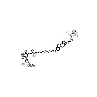 COCC1OC(n2cc(CCC(=O)NCCCCCCSSCCCOc3ccc4c(c3)CCC3C4CCC4(C)C(OCCN(C)CCOC(C(F)(F)F)(C(F)(F)F)C(F)(F)F)CCC34)c(=O)[nH]c2=O)CC1OC(C)C